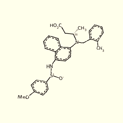 COc1ccc([S+]([O-])Nc2ccc(N(Cc3ccccc3C)[C@@H](C)CC(=O)O)c3ccccc23)cc1